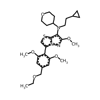 CCOCc1cc(OC)c(-c2csc3c(N(CCC4CC4)C4CCOCC4)c(OC)nn23)c(OC)c1